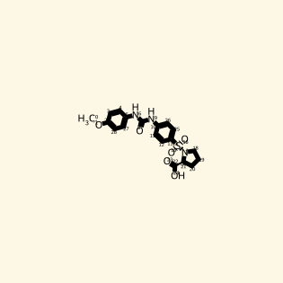 COc1ccc(NC(=O)Nc2ccc(S(=O)(=O)N3CCC[C@H]3C(=O)O)cc2)cc1